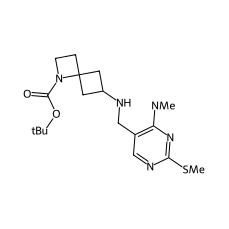 CNc1nc(SC)ncc1CNC1CC2(CCN2C(=O)OC(C)(C)C)C1